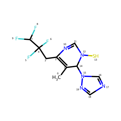 CC1=C(CC(F)(F)C(F)F)N=CN(S)C1n1cncn1